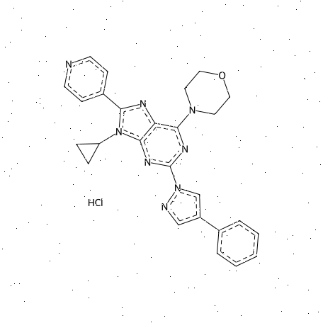 Cl.c1ccc(-c2cnn(-c3nc(N4CCOCC4)c4nc(-c5ccncc5)n(C5CC5)c4n3)c2)cc1